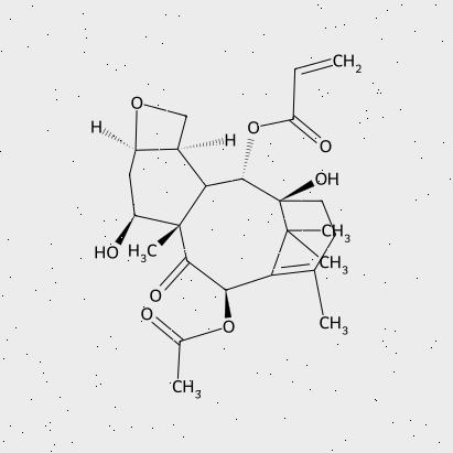 C=CC(=O)O[C@H]1C2[C@@H]3CO[C@@H]3C[C@H](O)[C@@]2(C)C(=O)[C@H](OC(C)=O)C2=C(C)CC[C@]1(O)C2(C)C